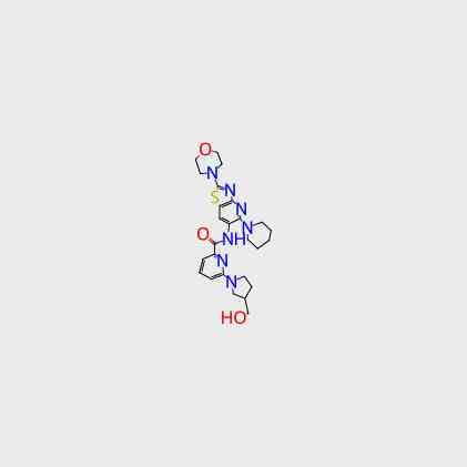 O=C(Nc1cc2sc(N3CCOCC3)nc2nc1N1CCCCC1)c1cccc(N2CCC(CO)C2)n1